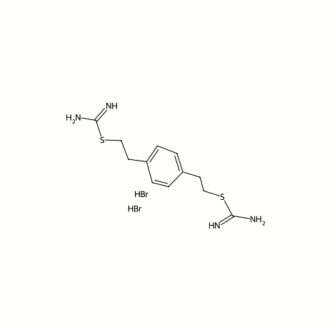 Br.Br.N=C(N)SCCc1ccc(CCSC(=N)N)cc1